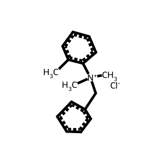 Cc1ccccc1[N+](C)(C)Cc1ccccc1.[Cl-]